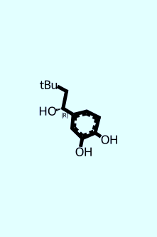 CC(C)(C)C[C@@H](O)c1ccc(O)c(O)c1